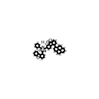 CC1(C)c2cc(-c3nc(-c4ccccc4)nc(-c4cccc5oc6ccccc6c45)n3)ccc2-c2c(-c3ccc4ccc5cccc6ccc3c4c56)cccc21